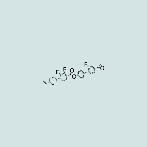 C=CC1CCC(c2ccc(C(=O)Oc3ccc(-c4ccc(C5CO5)cc4F)cc3)c(F)c2F)CC1